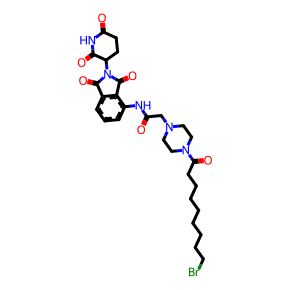 O=C1CCC(N2C(=O)c3cccc(NC(=O)CN4CCN(C(=O)CCCCCCCCBr)CC4)c3C2=O)C(=O)N1